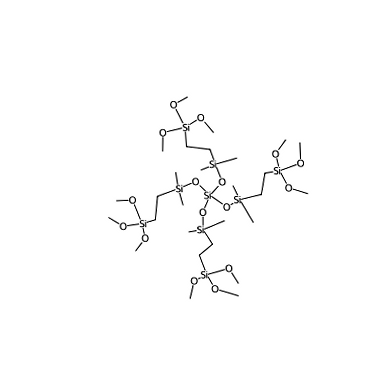 CO[Si](CC[Si](C)(C)O[Si](O[Si](C)(C)CC[Si](OC)(OC)OC)(O[Si](C)(C)CC[Si](OC)(OC)OC)O[Si](C)(C)CC[Si](OC)(OC)OC)(OC)OC